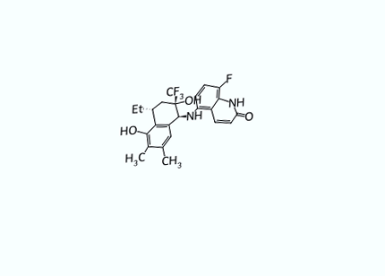 CC[C@@H]1C[C@@](O)(C(F)(F)F)[C@@H](Nc2ccc(F)c3[nH]c(=O)ccc23)c2cc(C)c(C)c(O)c21